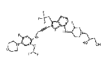 OCC(O)CN1CCC(Nc2cccc3c(CC(F)(F)F)c(C#CCNc4cc(F)c(N5CCOCC5)cc4OC(F)F)sc23)C(F)C1